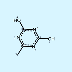 [CH2]c1nc(O)nc(O)n1